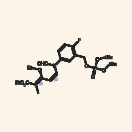 CCOC(=O)/C(C)=C(/C=C\N(C=O)c1ccc(F)c(COP(=O)(OC(C)(C)C)OC(C)(C)C)c1)OCC